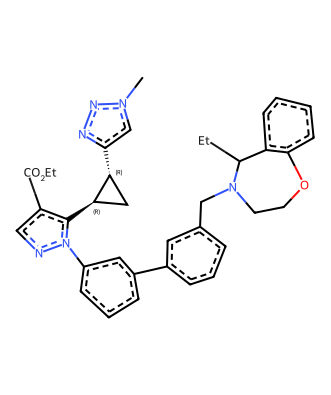 CCOC(=O)c1cnn(-c2cccc(-c3cccc(CN4CCOc5ccccc5C4CC)c3)c2)c1[C@@H]1C[C@H]1c1cn(C)nn1